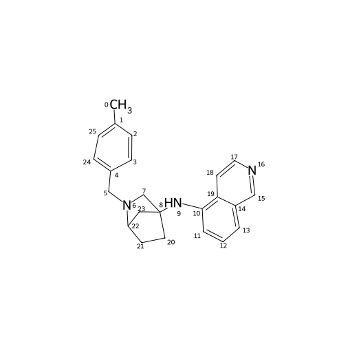 Cc1ccc(CN2CC3(Nc4cccc5cnccc45)CCC2C3)cc1